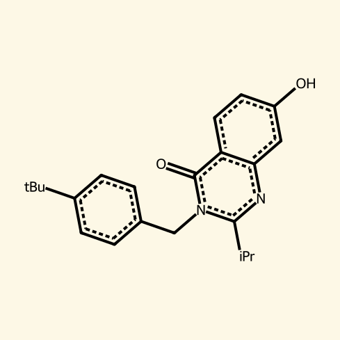 CC(C)c1nc2cc(O)ccc2c(=O)n1Cc1ccc(C(C)(C)C)cc1